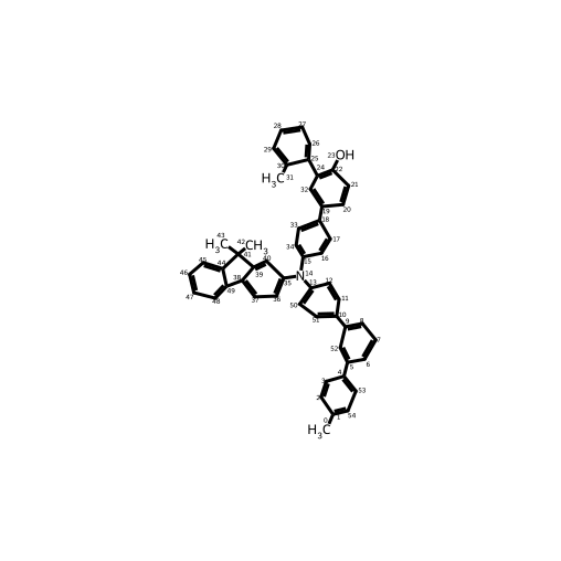 Cc1ccc(-c2cccc(-c3ccc(N(c4ccc(-c5ccc(O)c(-c6ccccc6C)c5)cc4)c4ccc5c(c4)C(C)(C)c4ccccc4-5)cc3)c2)cc1